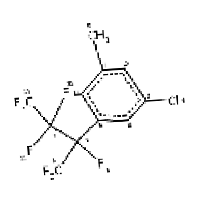 Cc1[c]c(Cl)cc(C(F)(C(F)(F)F)C(F)(F)C(F)(F)F)c1